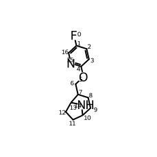 Fc1ccc(OCC2CCC3CCC2N3)nc1